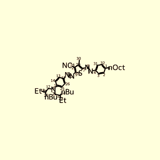 CCCCCCCCc1ccc(N=Nc2sc(N=Nc3ccc(N(CC(CC)CCCC)CC(CC)CCCC)cc3)c(C#N)c2C)cc1